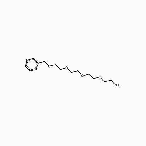 NCCOCCOCCOCCOCc1cccnc1